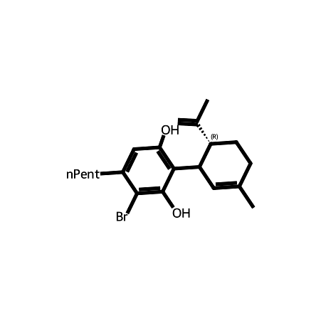 C=C(C)[C@@H]1CCC(C)=CC1c1c(O)cc(CCCCC)c(Br)c1O